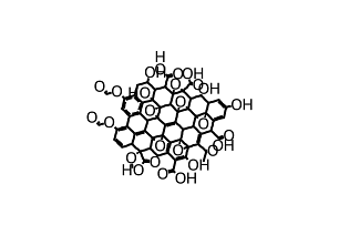 CO[C@@]1(C(=O)O)C2C=CC(OC=O)=C3C2=C2C4c5c3cc(OC=O)c3c5[C@]5(O)C(C(O)C3)C(C(=O)O)C36OC3(C(=O)O)C3C(O)C7C=C(O)C=C8C(C(=O)O)C9=C(C(C)=O)C%10%11O[C@]%10%12C%10=C(CC1C21OC%101C1=C2C%12C9[C@]9(O[C@]879)[C@@]37O[C@]27C6[C@@]52O[C@@]142)C(C(=O)O)=C%11O